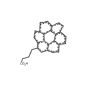 O=C(O)CCCc1cc2ccc3ccc4ccc5ccc6ccc1c1c6c5c4c3c21